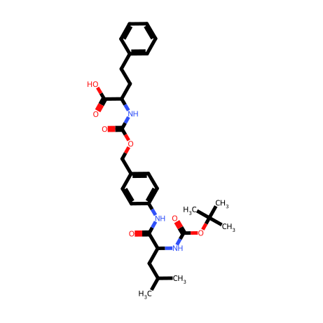 CC(C)CC(NC(=O)OC(C)(C)C)C(=O)Nc1ccc(COC(=O)NC(CCc2ccccc2)C(=O)O)cc1